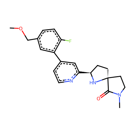 COCc1ccc(F)c(-c2ccnc([C@H]3CC[C@@]4(CCN(C)C4=O)N3)c2)c1